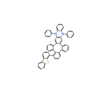 c1ccc(-n2c3ccccc3n(-c3ccccc3)c3cc4c(cc32)c2ccccc2c2cccc(-c3cccc5c3sc3ccccc35)c2c2ccccc42)cc1